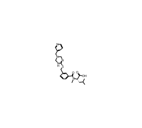 CC(C)C[C@@H](C(=O)O)N(C)C(=O)c1cccc(CSC2=NCN(Cc3cccnc3)CN2)c1